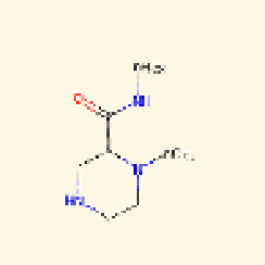 CCCCCCCCN1CCNCC1C(=O)NCCCCCC